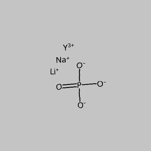 O=P([O-])([O-])[O-].[Li+].[Na+].[Y+3]